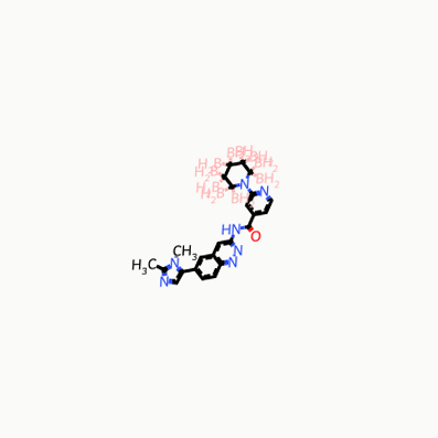 BC1(B)N(c2cc(C(=O)Nc3cc4cc(-c5cnc(C)n5C)ccc4nn3)ccn2)C(B)(B)C(B)(B)C(B)(B)C1(B)B